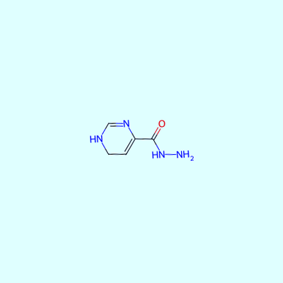 NNC(=O)C1=CCNC=N1